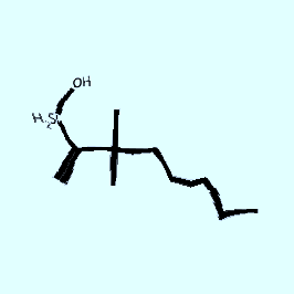 C=C([SiH2]O)C(C)(C)CCCCC